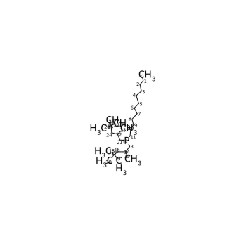 CCCCCCCCCCCCP(CC(C)CC(C)(C)C)CC(C)CC(C)(C)C